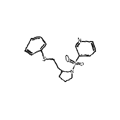 O=S(=O)(c1cccnc1)N1CCCC1CSc1ccccc1